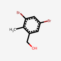 Cc1c(Br)cc(Br)cc1CO